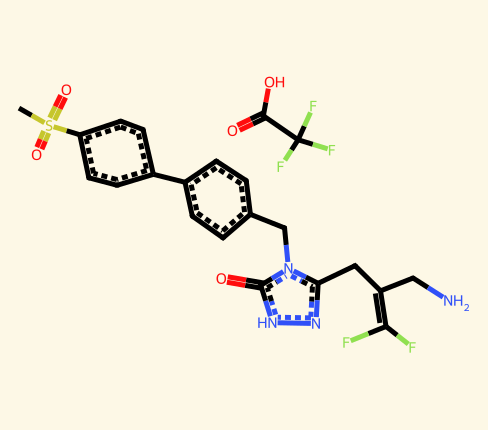 CS(=O)(=O)c1ccc(-c2ccc(Cn3c(CC(CN)=C(F)F)n[nH]c3=O)cc2)cc1.O=C(O)C(F)(F)F